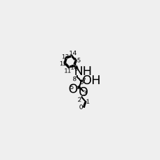 C=CCOC(=O)C(O)CNc1ccccc1